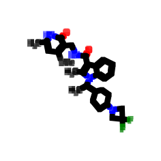 CSc1cc(C)[nH]c(=O)c1CNC(=O)c1c(C)n(C(C)C2CCC(N3CC(F)(F)C3)CC2)c2ccccc12